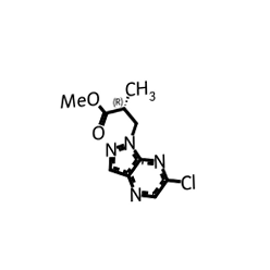 COC(=O)[C@H](C)Cn1ncc2ncc(Cl)nc21